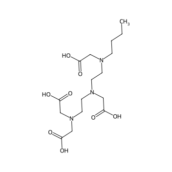 CCCCN(CCN(CCN(CC(=O)O)CC(=O)O)CC(=O)O)CC(=O)O